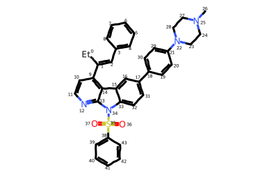 CCC(=Cc1ccccc1)c1ccnc2c1c1cc(-c3ccc(N4CCN(C)CC4)cc3)ccc1n2S(=O)(=O)c1ccccc1